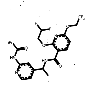 CC(C)C(=O)Nc1cc(C(C)NC(=O)c2ccc(OCC(F)(F)F)nc2OCC(F)F)ccn1